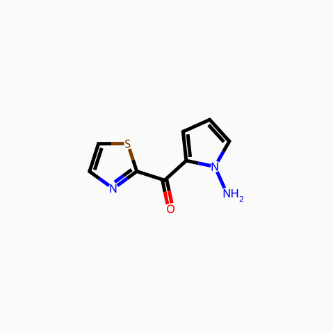 Nn1cccc1C(=O)c1nccs1